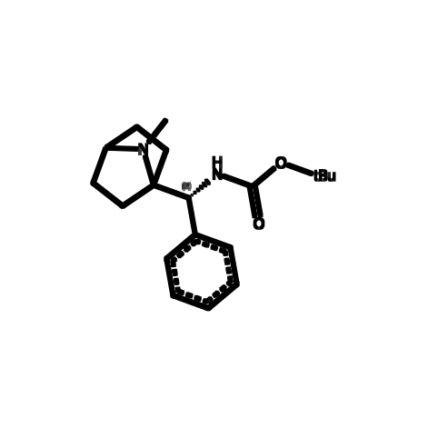 CN1C2CCC1([C@H](NC(=O)OC(C)(C)C)c1ccccc1)CC2